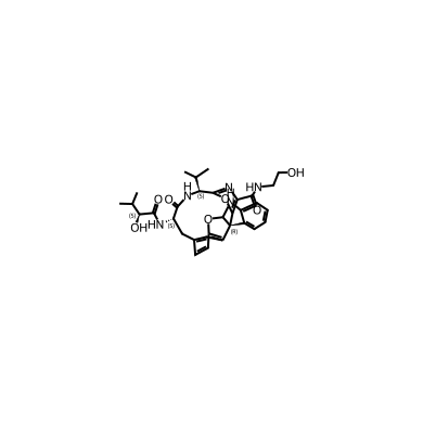 CC(C)[C@H](O)C(=O)N[C@H]1Cc2ccc3c(c2)[C@@]2(c4ccccc4NC2O3)c2oc(nc2C(=O)NCCO)[C@H](C(C)C)NC1=O